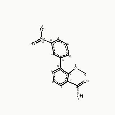 COc1c(C(=O)O)cccc1-c1cccc([N+](=O)[O-])c1